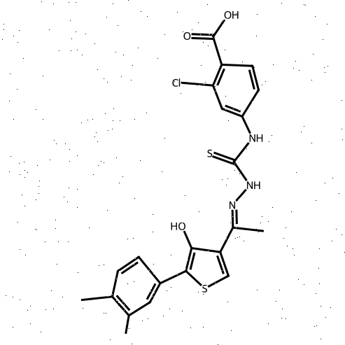 C/C(=N\NC(=S)Nc1ccc(C(=O)O)c(Cl)c1)c1csc(-c2ccc(C)c(C)c2)c1O